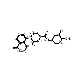 CC1NCC(NC(=O)C2CNC(c3cccc4c3CCNC4=O)C(C)N2)CC1Cl